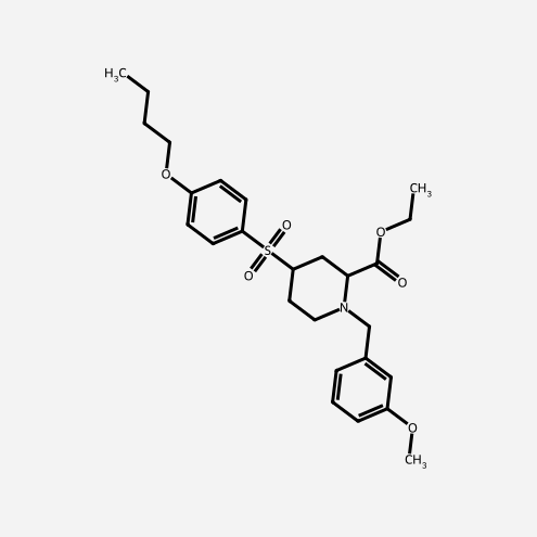 CCCCOc1ccc(S(=O)(=O)C2CCN(Cc3cccc(OC)c3)C(C(=O)OCC)C2)cc1